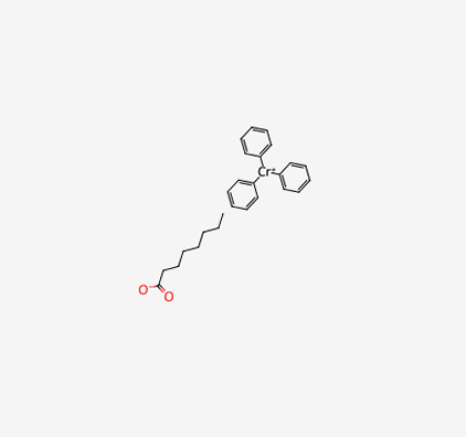 CCCCCCCC(=O)[O-].c1cc[c]([Cr+]([c]2ccccc2)[c]2ccccc2)cc1